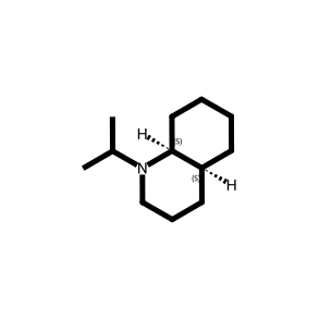 CC(C)N1CCC[C@@H]2CCCC[C@@H]21